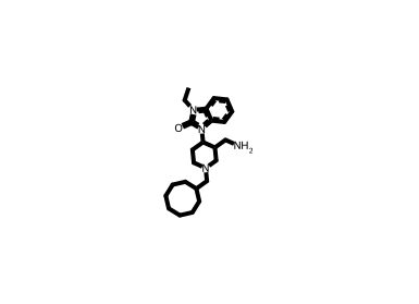 CCn1c(=O)n(C2CCN(CC3CCCCCCC3)CC2CN)c2ccccc21